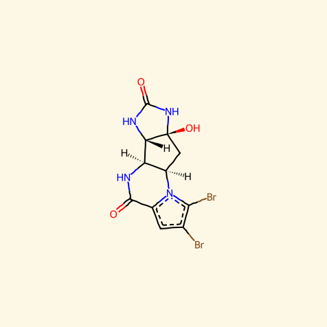 O=C1N[C@H]2[C@@H]3NC(=O)c4cc(Br)c(Br)n4[C@@H]3C[C@@]2(O)N1